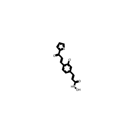 O=C(/C=C/c1ccc(/C=C/C(=O)c2cccs2)c(Cl)c1)NO